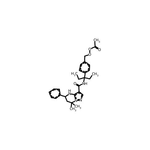 CCC(CC)(NC(=O)c1cnn2c1NC(c1ccccc1)CC2(C)C)c1ccc(COOC(C)=O)cc1